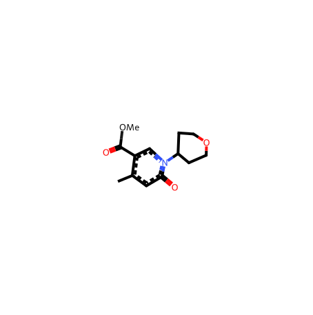 COC(=O)c1cn(C2CCOCC2)c(=O)cc1C